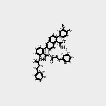 Cc1ccc(-c2ccc3cc(-c4cccc5c4c(NC(=O)CCc4ccccc4)nn5C(=O)CCc4ccccc4)ccc3c2C(N)=O)cc1F